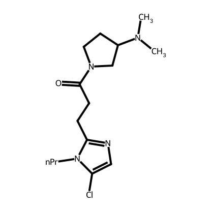 CCCn1c(Cl)cnc1CCC(=O)N1CCC(N(C)C)C1